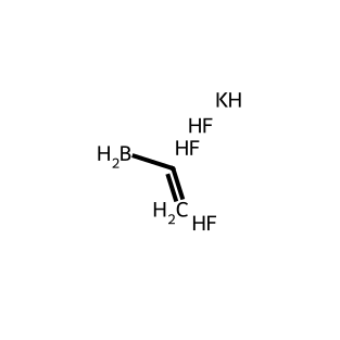 BC=C.F.F.F.[KH]